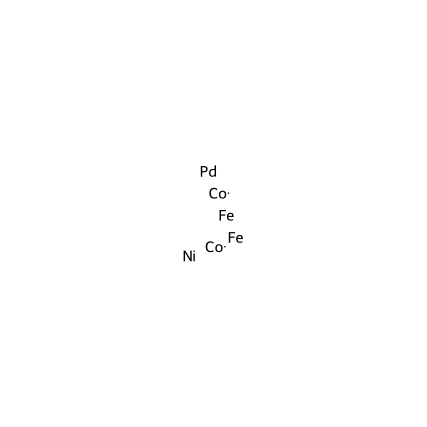 [Co].[Co].[Fe].[Fe].[Ni].[Pd]